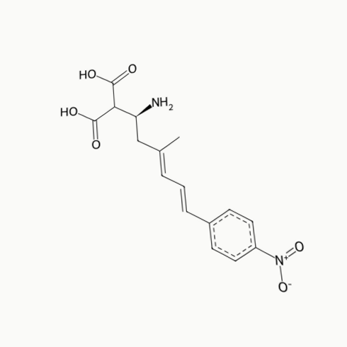 C/C(=C\C=C\c1ccc([N+](=O)[O-])cc1)C[C@H](N)C(C(=O)O)C(=O)O